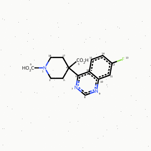 O=C(O)N1CCC(C(=O)O)(c2ncnc3cc(F)ccc23)CC1